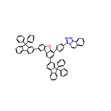 c1ccc(C2(c3ccccc3)c3ccccc3-c3ccc(-c4ccc5oc6c(-c7ccc(-c8nnc9c%10ccccc%10ccn89)cc7)cc(-c7ccc8c(c7)C(c7ccccc7)(c7ccccc7)c7ccccc7-8)cc6c5c4)cc32)cc1